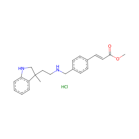 COC(=O)C=Cc1ccc(CNCCC2(C)CNc3ccccc32)cc1.Cl